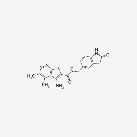 Cc1nnc2sc(C(=O)NCc3ccc4c(c3)CC(=O)N4)c(N)c2c1C